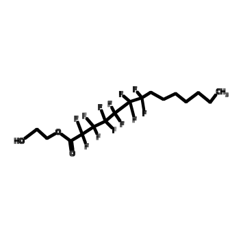 CCCCCCCC(F)(F)C(F)(F)C(F)(F)C(F)(F)C(F)(F)C(F)(F)C(=O)OCCO